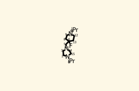 CC(C)N1CCN(CC2(F)CCN(C(C)C)CC2)CC1